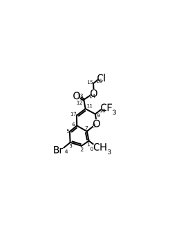 Cc1cc(Br)cc2c1OC(C(F)(F)F)C(C(=O)OCCl)=C2